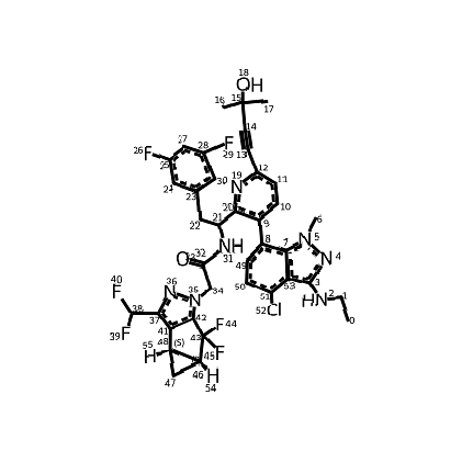 CCNc1nn(C)c2c(-c3ccc(C#CC(C)(C)O)nc3C(Cc3cc(F)cc(F)c3)NC(=O)Cn3nc(C(F)F)c4c3C(F)(F)[C@@H]3C[C@H]43)ccc(Cl)c12